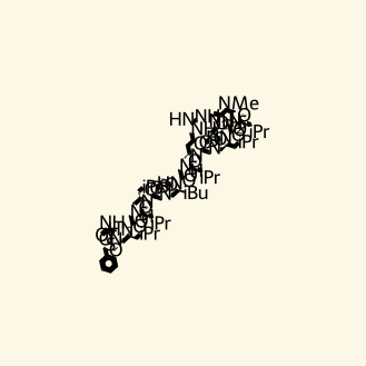 CCC(C)[C@@H](CN(CC(=O)N[C@@H](CC(C)C)CN(CC(=O)N[C@@H](CC(C)C)CN(CC(N)=O)S(=O)(=O)Cc1ccccc1)S(=O)(=O)CC(C)C)S(C)(=O)=O)NC(=O)CN(C[C@H](CCCNC(=N)N)NC(=O)CN(C[C@H](CC(C)C)NC(=O)CN(C[C@@H](NC)C(C)O)S(=O)(=O)CC(C)C)S(=O)(=O)CCN)S(=O)(=O)CC(C)C